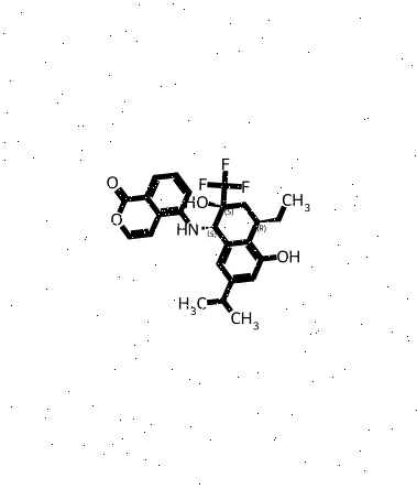 CC[C@@H]1C[C@@](O)(C(F)(F)F)[C@@H](Nc2cccc3c(=O)occc23)c2cc(C(C)C)cc(O)c21